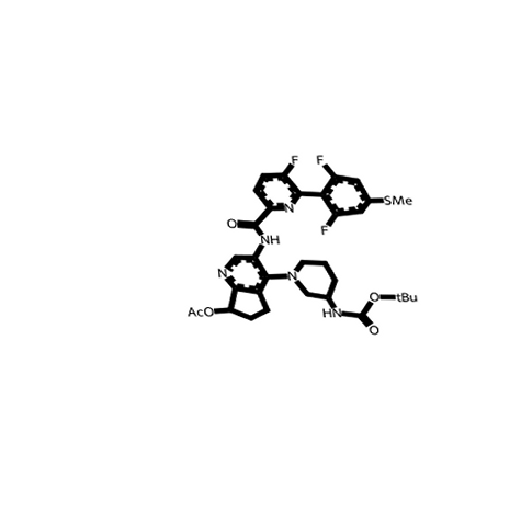 CSc1cc(F)c(-c2nc(C(=O)Nc3cnc4c(c3N3CCCC(NC(=O)OC(C)(C)C)C3)CCC4OC(C)=O)ccc2F)c(F)c1